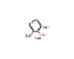 O=[N+]([O-])c1ccccc1O.[NaH].[NaH]